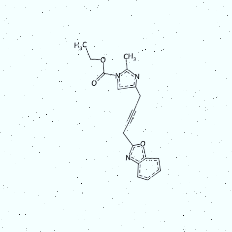 CCOC(=O)n1cc(CC#CCc2nc3ccccc3o2)nc1C